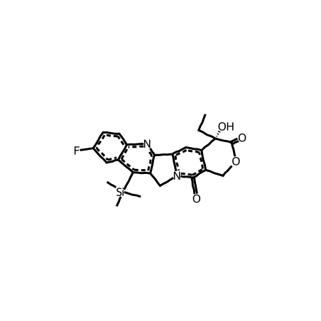 CC[C@@]1(O)C(=O)OCc2c1cc1n(c2=O)Cc2c-1nc1ccc(F)cc1c2[Si](C)(C)C